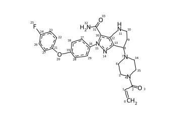 C=CC(=O)N1CCN(C2CCNc3c2nn(-c2ccc(Oc4ccc(F)cc4)cc2)c3C(N)=O)CC1